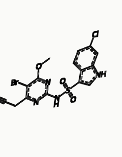 COc1nc(NS(=O)(=O)c2c[nH]c3cc(Cl)ccc23)nc(CC#N)c1Br